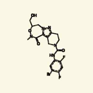 CN1OC(CO)Cn2nc3c(c2C1=O)CN(C(=O)Nc1cc(Br)c(F)cc1F)CC3